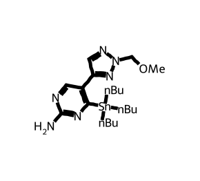 CCC[CH2][Sn]([CH2]CCC)([CH2]CCC)[c]1nc(N)ncc1-c1cnn(COC)n1